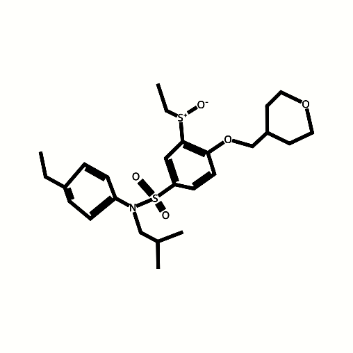 CCc1ccc(N(CC(C)C)S(=O)(=O)c2ccc(OCC3CCOCC3)c([S+]([O-])CC)c2)cc1